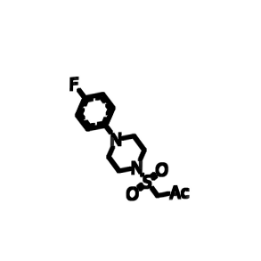 CC(=O)CS(=O)(=O)N1CCN(c2ccc(F)cc2)CC1